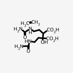 C=C.NC(=O)NCCC(C(=O)O)C(O)(CCNC(N)=O)C(=O)O